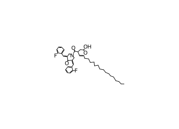 CCCCCCCCCCCCCCCC/C=C/C(CC(=O)O)C(=O)N1C/C(=C/c2ccccc2F)C(=O)/C(=C/c2ccccc2F)C1